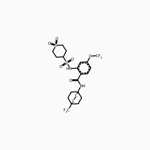 O=C(NC12CCC(C(F)(F)F)(CC1)CC2)c1ccc(OC(F)(F)F)cc1NS(=O)(=O)C1CCS(=O)(=O)CC1